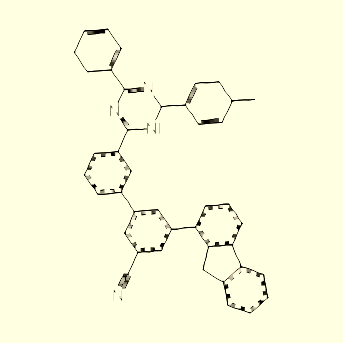 CC1C=CC(C2N=C(C3=CC=CCC3)N=C(c3cccc(-c4cc(C#N)cc(-c5cccc6c5Cc5ccccc5-6)c4)c3)N2)=CC1